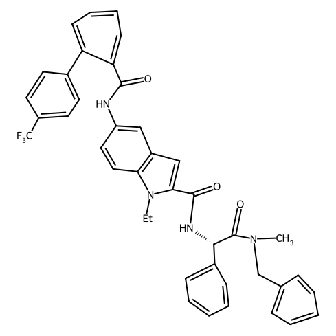 CCn1c(C(=O)N[C@H](C(=O)N(C)Cc2ccccc2)c2ccccc2)cc2cc(NC(=O)c3ccccc3-c3ccc(C(F)(F)F)cc3)ccc21